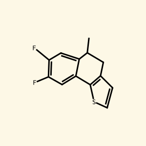 CC1Cc2ccsc2-c2cc(F)c(F)cc21